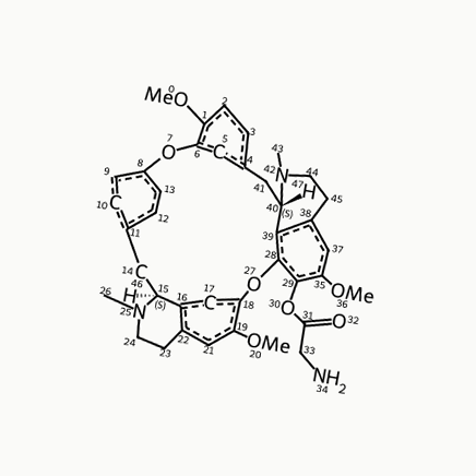 COc1ccc2cc1Oc1ccc(cc1)C[C@H]1c3cc(c(OC)cc3CCN1C)Oc1c(OC(=O)CN)c(OC)cc3c1[C@H](C2)N(C)CC3